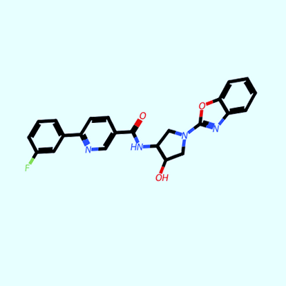 O=C(NC1CN(c2nc3ccccc3o2)CC1O)c1ccc(-c2cccc(F)c2)nc1